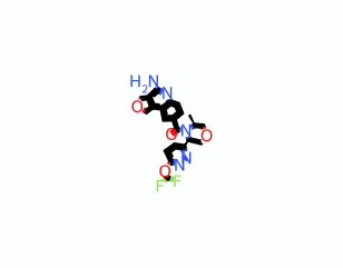 C[C@H]1COC[C@@H](c2ccc(OC(F)F)nn2)N1C(=O)c1ccc2nc(N)c3c(c2c1)COC3